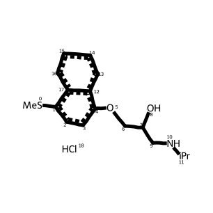 CSc1ccc(OCC(O)CNC(C)C)c2ccccc12.Cl